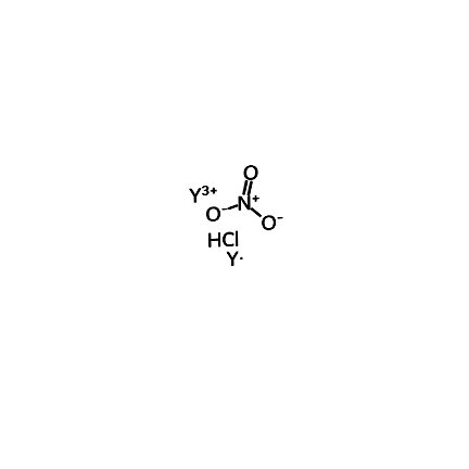 Cl.O=[N+]([O-])[O-].[Y+3].[Y]